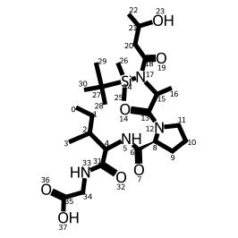 CCC(C)C(NC(=O)[C@@H]1CCCN1C(=O)C(C)N(C(=O)CC(C)O)[Si](C)(C)C(C)(C)C)C(=O)NCC(=O)O